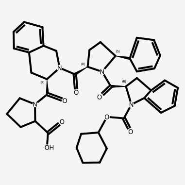 O=C(O)C1CCCN1C(=O)[C@H]1Cc2ccccc2CN1C(=O)[C@H]1CC[C@@H](c2ccccc2)N1C(=O)[C@H]1Cc2ccccc2N1C(=O)OC1CCCCC1